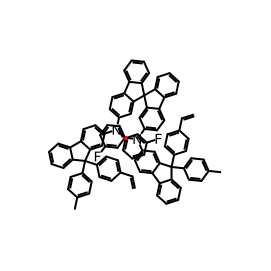 C=Cc1ccc(C2(c3ccc(C)cc3)c3ccccc3-c3ccc(N(c4cccc(F)c4)c4ccc5c(c4)C4(c6ccccc6-5)c5ccccc5-c5ccc(N(c6cccc(F)c6)c6ccc7c(c6)C(c6ccc(C)cc6)(c6ccc(C=C)cc6)c6ccccc6-7)cc54)cc32)cc1